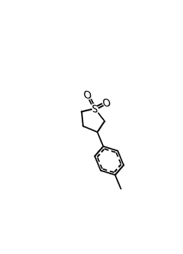 Cc1ccc(C2CCS(=O)(=O)C2)cc1